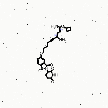 N/C(C#CCCCCOc1ccc2c(c1)C(=O)N(C1CCC(=O)NC1=O)C2=O)=C\C=C(/N)OC1CCC1